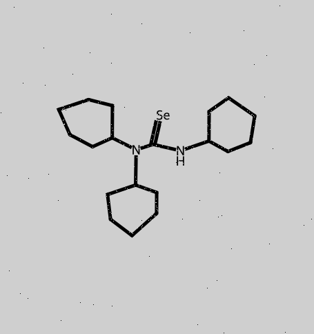 [Se]=C(NC1CCCCC1)N(C1CCCCC1)C1CCCCC1